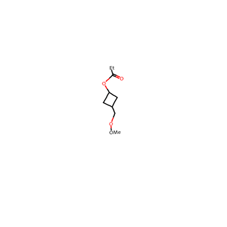 CCC(=O)OC1CC(COOC)C1